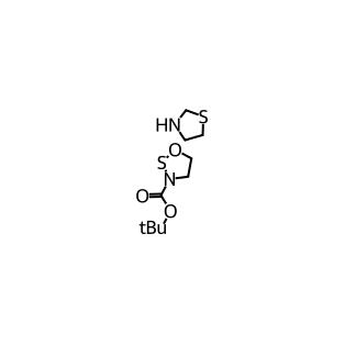 C1CSCN1.CC(C)(C)OC(=O)N1CCOS1